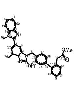 CCCC1=NC2C(=CC(c3nc4ccccc4n3C)=CC2C)N1Cc1ccc(-c2ccccc2CC(=O)OC)cc1